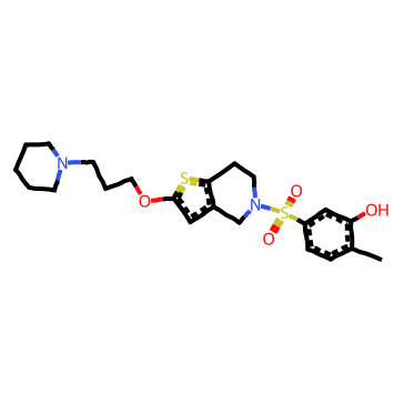 Cc1ccc(S(=O)(=O)N2CCc3sc(OCCCN4CCCCC4)cc3C2)cc1O